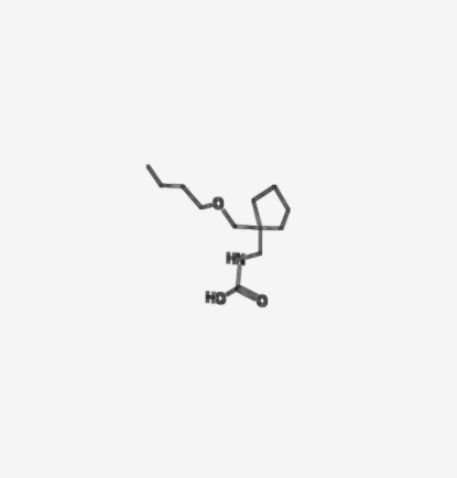 CCCCOCC1(CNC(=O)O)CCCC1